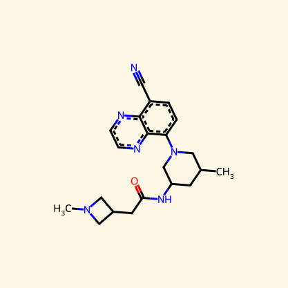 CC1CC(NC(=O)CC2CN(C)C2)CN(c2ccc(C#N)c3nccnc23)C1